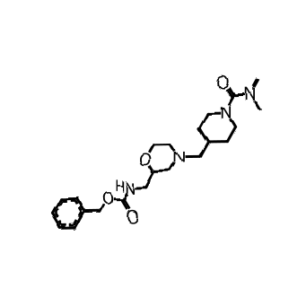 CN(C)C(=O)N1CCC(CN2CCOC(CNC(=O)OCc3ccccc3)C2)CC1